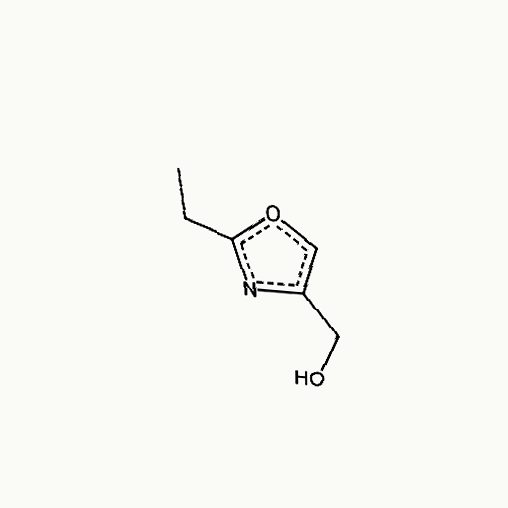 CCc1nc(CO)co1